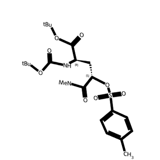 CNC(=O)[C@H](C[C@@H](NC(=O)OC(C)(C)C)C(=O)OC(C)(C)C)OS(=O)(=O)c1ccc(C)cc1